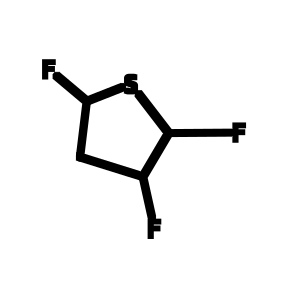 FC1CC(F)C(F)S1